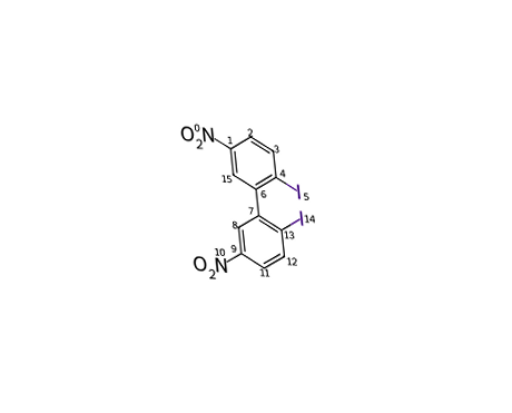 O=[N+]([O-])c1ccc(I)c(-c2cc([N+](=O)[O-])ccc2I)c1